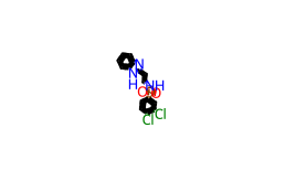 O=S(=O)(NCCc1nc2ccccc2[nH]1)c1ccc(Cl)c(Cl)c1